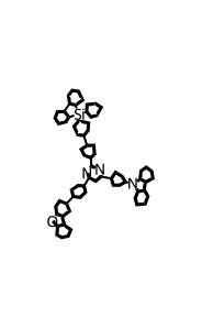 c1ccc([Si]2(c3ccc(-c4ccc(-c5nc(-c6ccc(-c7ccc8oc9ccccc9c8c7)cc6)cc(-c6ccc(-n7c8ccccc8c8ccccc87)cc6)n5)cc4)cc3)c3ccccc3-c3ccccc32)cc1